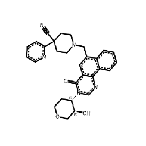 N#CC1(c2ccccn2)CCN(Cc2cc3c(=O)n([C@H]4CCOC[C@@H]4O)cnc3c3ccccc23)CC1